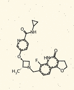 C[C@@H]1[C@@H](Oc2ccc(C(=O)NC3CC3)nc2)CN1Cc1ccc2c3c(c(=O)[nH]c2c1F)CCO3